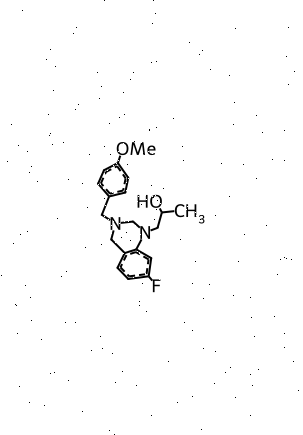 COc1ccc(CN2Cc3ccc(F)cc3N(CC(C)O)C2)cc1